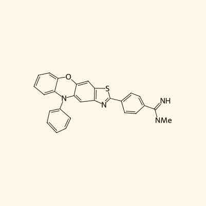 CNC(=N)c1ccc(-c2nc3cc4c(cc3s2)Oc2ccccc2N4c2ccccc2)cc1